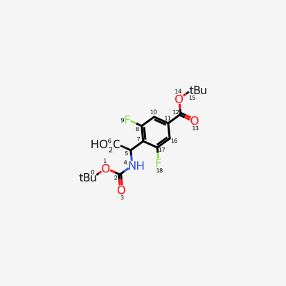 CC(C)(C)OC(=O)NC(C(=O)O)c1c(F)cc(C(=O)OC(C)(C)C)cc1F